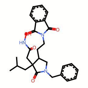 CC(C)CC1(CC(=O)NO)C(=O)N(Cc2ccccc2)CC1CCN1C(=O)c2ccccc2C1=O